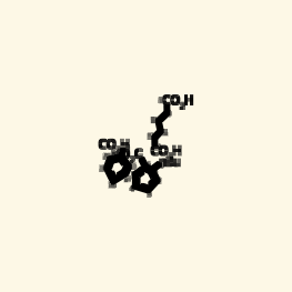 CCCCc1ccccc1C(=O)O.O=C(O)CCCCC(=O)O.O=C(O)c1ccccc1